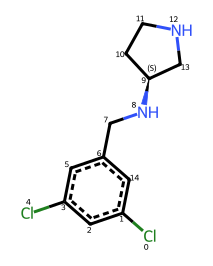 Clc1cc(Cl)cc(CN[C@H]2CCNC2)c1